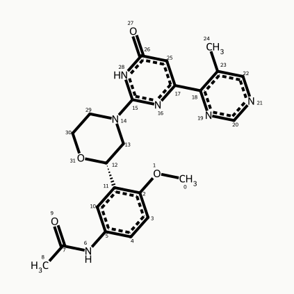 COc1ccc(NC(C)=O)cc1[C@H]1CN(c2nc(-c3ncncc3C)cc(=O)[nH]2)CCO1